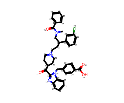 CN(CC(CCN1CCC(C(=O)c2nc3ccccc3n2Cc2ccc(C(=O)O)cc2)CC1)c1cccc(Cl)c1)C(=O)c1ccccc1